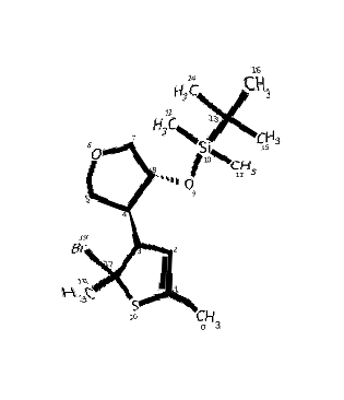 CC1=CC([C@H]2COC[C@@H]2O[Si](C)(C)C(C)(C)C)C(C)(Br)S1